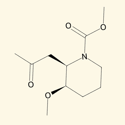 COC(=O)N1CCC[C@@H](OC)[C@H]1CC(C)=O